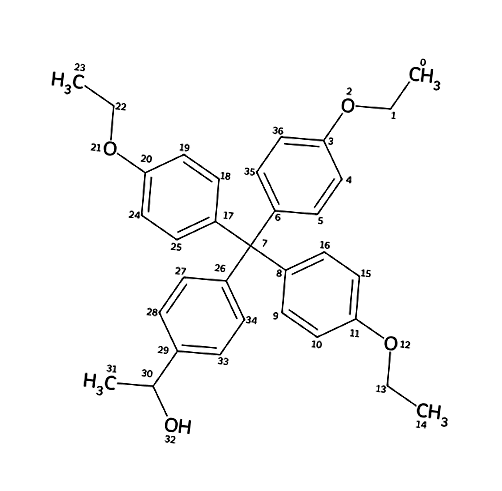 CCOc1ccc(C(c2ccc(OCC)cc2)(c2ccc(OCC)cc2)c2ccc(C(C)O)cc2)cc1